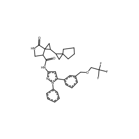 O=C(Nc1cc(-c2cccc(COCC(F)(F)F)c2)n(-c2ccccc2)n1)C1CNC(=O)C12CC2C1CC12CCCC2